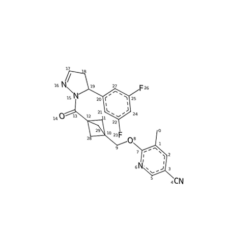 Cc1cc(C#N)cnc1OCC12CC(C(=O)N3N=CCC3c3cc(F)cc(F)c3)(C1)C2